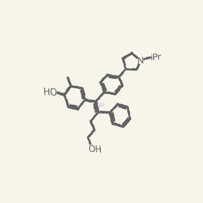 CC1C=C(/C(=C(\CCCO)c2ccccc2)c2ccc(C3CCN(C(C)C)C3)cc2)C=CC1O